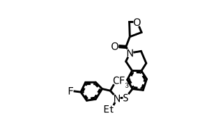 CCN(Sc1ccc2c(c1)CN(C(=O)C1COC1)CC2)C(c1ccc(F)cc1)C(F)(F)F